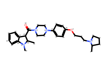 CC1CCCN1CCCOc1ccc(N2CCN(C(=O)C3c4ccccc4N(C)C3C)CC2)cc1